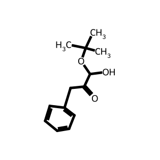 CC(C)(C)OC(O)C(=O)Cc1ccccc1